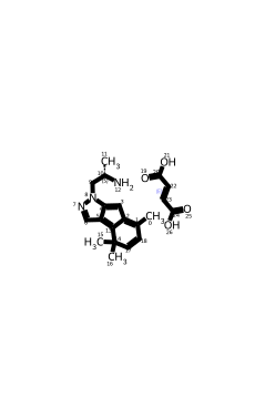 CC1=C2C=c3c(cnn3C[C@H](C)N)=C2C(C)(C)C=C1.O=C(O)/C=C/C(=O)O